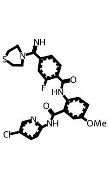 COc1ccc(NC(=O)c2ccc(C(=N)N3CCSCC3)cc2F)c(C(=O)Nc2ccc(Cl)cn2)c1